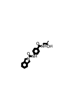 C[C@@H](O)CNC(=O)c1ccc(NC(=O)N2Cc3ccccc3C2)cc1